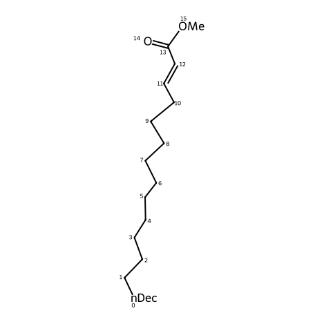 CCCCCCCCCCCCCCCCCCCCC=CC(=O)OC